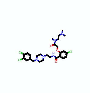 CN(C)CCN(C)C(=O)COc1cc(Cl)ccc1C(=O)NCCN1CCN(Cc2ccc(Cl)c(Cl)c2)CC1